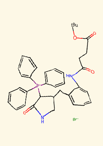 CC(C)(C)OC(=O)CCC(=O)Nc1ccccc1CC1CNC(=O)C1[P+](c1ccccc1)(c1ccccc1)c1ccccc1.[Br-]